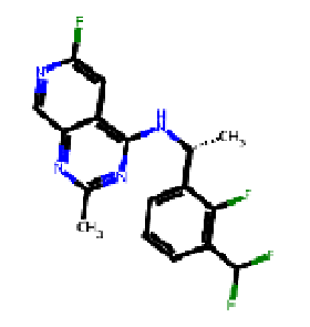 Cc1nc(N[C@H](C)c2cccc(C(F)F)c2F)c2cc(F)ncc2n1